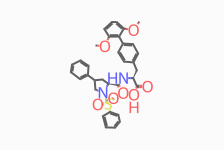 COc1cccc(OC)c1-c1ccc(C[C@H](NC(=O)[C@@H]2CC(c3ccccc3)CN2S(=O)(=O)c2ccccc2)C(=O)O)cc1